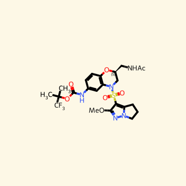 COc1nn2c(c1S(=O)(=O)N1C[C@H](CNC(C)=O)Oc3ccc(NC(=O)OC(C)(C)C(F)(F)F)cc31)CCC2